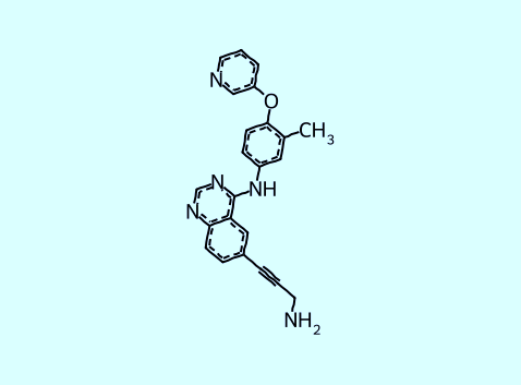 Cc1cc(Nc2ncnc3ccc(C#CCN)cc23)ccc1Oc1cccnc1